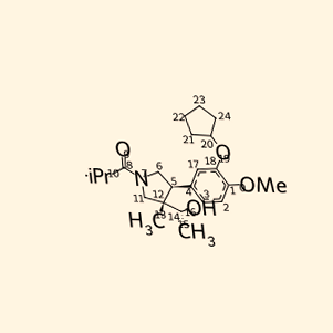 COc1ccc([C@@H]2CN(C(=O)[C](C)C)C[C@@]2(C)[C@@H](C)O)cc1OC1CCCC1